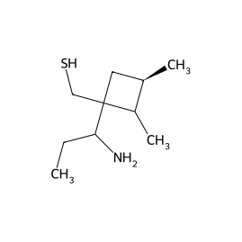 CCC(N)C1(CS)C[C@@H](C)C1C